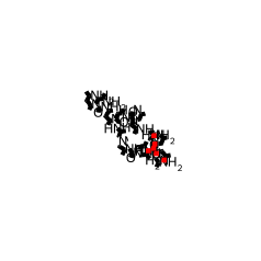 CC(N)CC(C)N(CC(C)N)C(=O)NC(C)CC(C)N(CC(C)NC(=O)N(CC(C)N)CC(C)N)C(=O)NC(C)CN(C)CC(C)NC(=O)N(CC(C)NC(=O)N(CC(C)N)CC(C)N)CC(C)NC(=O)N(CC(C)N)CC(C)N